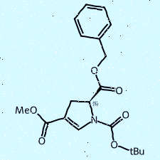 COC(=O)C1=CN(C(=O)OC(C)(C)C)[C@H](C(=O)OCc2ccccc2)C1